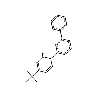 CC(C)(C)C1=CNC(c2cccc(-c3ccccc3)c2)C=C1